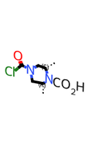 C[C@@H]1CN(C(=O)Cl)C[C@H](C)N1C(=O)O